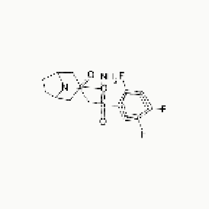 N[C@H](Cc1cc(F)c(F)cc1F)C1CC2CCC(C1)N2C(=O)CS(=O)(=O)c1ccccc1